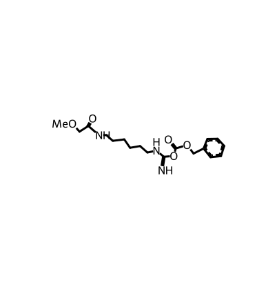 COCC(=O)NCCCCCCNC(=N)OC(=O)OCc1ccccc1